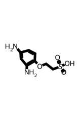 Nc1ccc(OCCS(=O)(=O)O)c(N)c1